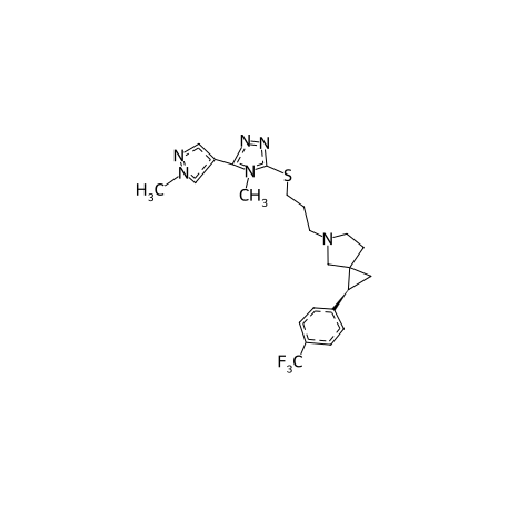 Cn1cc(-c2nnc(SCCCN3CCC4(C[C@H]4c4ccc(C(F)(F)F)cc4)C3)n2C)cn1